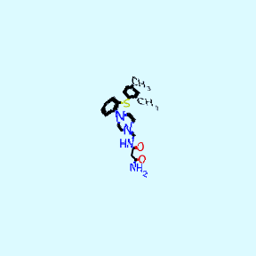 Cc1ccc(Sc2ccccc2N2CCN(CNC(=O)CC(N)=O)CC2)c(C)c1